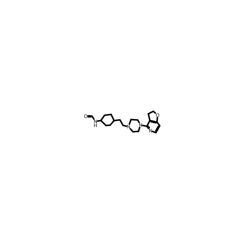 O=CNC1CCC(CCN2CCN(c3nccc4c3CCO4)CC2)CC1